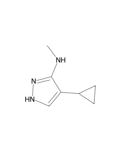 CNc1n[nH]cc1C1CC1